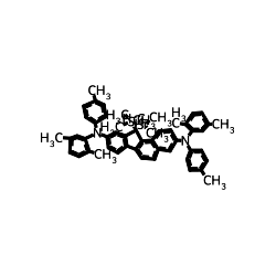 Cc1ccc(N(c2ccc3c(c2)C([Si](C)(C)C)([Si](C)(C)C)c2c-3ccc3cc(N(c4ccc(C)cc4)c4cc(C)ccc4C)ccc23)c2cc(C)ccc2C)cc1